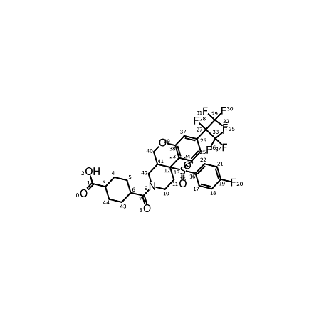 O=C(O)C1CCC(C(=O)N2CCC3(S(=O)(=O)c4ccc(F)cc4)c4ccc(C(F)(C(F)(F)F)C(F)(F)F)cc4OCC3C2)CC1